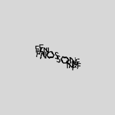 Cn1c(C(F)(F)F)nc2ccc(SSc3ccc4nc(C(F)(F)F)n(C)c4c3)cc21